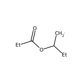 [CH2]C(CC)OC(=O)CC